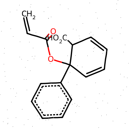 C=CC(=O)OC1(c2ccccc2)C=CC=CC1C(=O)O